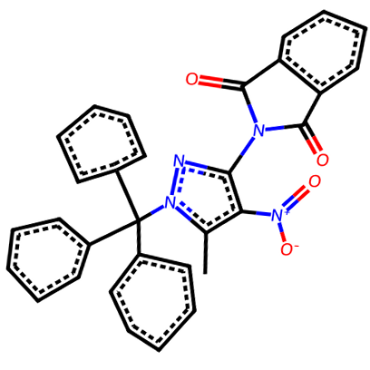 Cc1c([N+](=O)[O-])c(N2C(=O)c3ccccc3C2=O)nn1C(c1ccccc1)(c1ccccc1)c1ccccc1